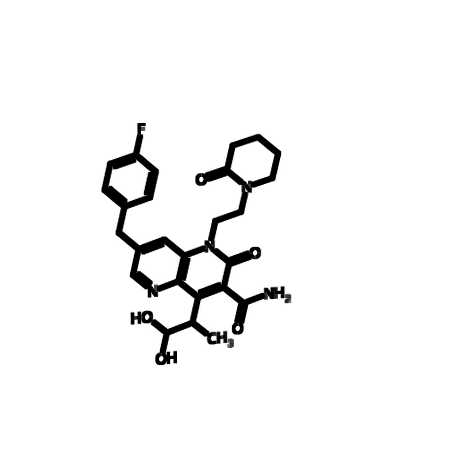 CC(c1c(C(N)=O)c(=O)n(CCN2CCCCC2=O)c2cc(Cc3ccc(F)cc3)cnc12)C(O)O